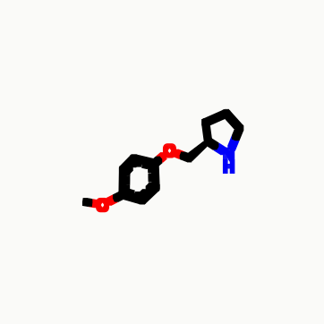 COc1ccc(OC[C@H]2CCCN2)cc1